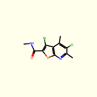 CNC(=O)c1sc2nc(C)c(Cl)c(C)c2c1Br